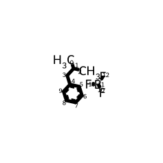 CC(C)Cc1ccccc1.FB(F)F